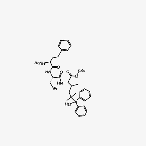 CCCCOC(=O)[C@@H](NC(=O)[C@H](CC(C)C)NC(=O)[C@H](CCc1ccccc1)NC(C)=O)[C@@H](C)CC(C)(C)[Si](O)(c1ccccc1)c1ccccc1